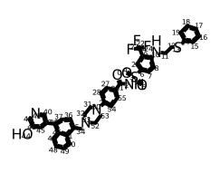 O=C(NS(=O)(=O)c1ccc(NCCSc2ccccc2)c(C(F)(F)F)c1)c1ccc(N2CCN(Cc3ccc(-c4cncc(O)c4)c4ccccc34)CC2)cc1